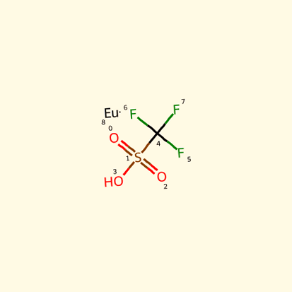 O=S(=O)(O)C(F)(F)F.[Eu]